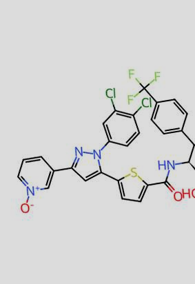 O=C(N[C@H](CO)Cc1ccc(C(F)(F)F)cc1)c1ccc(-c2cc(-c3ccc[n+]([O-])c3)nn2-c2ccc(Cl)c(Cl)c2)s1